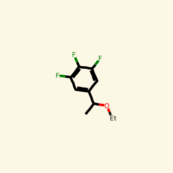 CCOC(C)c1cc(F)c(F)c(F)c1